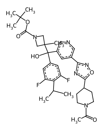 CC(=O)N1CCC(c2nc(-c3cncc(C(O)(c4cc(F)c(C(C)C)c(F)c4)C4(C)CN(C(=O)OC(C)(C)C)C4)c3)no2)CC1